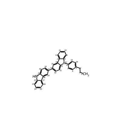 CCCc1ccc(-n2c3ccccc3c3cc(-c4ccc5[nH]c6ccccc6c5c4)ccc32)cc1